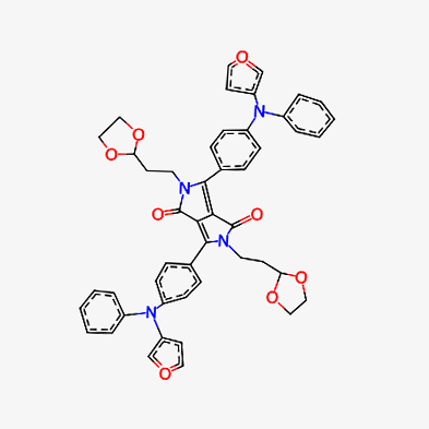 O=C1C2=C(c3ccc(N(c4ccccc4)c4ccoc4)cc3)N(CCC3OCCO3)C(=O)C2=C(c2ccc(N(c3ccccc3)c3ccoc3)cc2)N1CCC1OCCO1